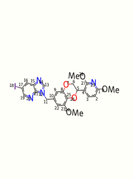 COc1ccc(C2COc3cc(Cn4cnc5cc(I)cnc54)cc(OC)c3O2)c(OC)n1